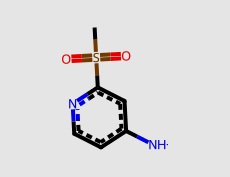 CS(=O)(=O)c1cc([NH])ccn1